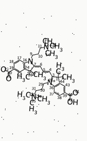 CC1(C)C(/C=C/C=C2/N(CCC[N+](C)(C)C)c3ccc(C(=O)O)cc3C2(C)C)=[N+](CCC[N+](C)(C)C)c2ccc(C(=O)O)cc21